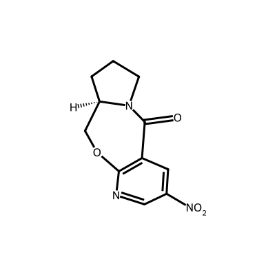 O=C1c2cc([N+](=O)[O-])cnc2OC[C@H]2CCCN12